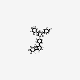 Cc1ccc(-c2nc(-c3ccccc3)cc(-c3ccc(-c4cccc5c4oc4ccccc45)cc3)n2)cc1